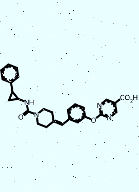 O=C(O)c1cnc(Oc2cccc(C=C3CCN(C(=O)NC4CC4c4ccccc4)CC3)c2)nc1